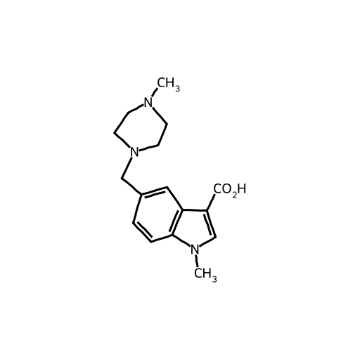 CN1CCN(Cc2ccc3c(c2)c(C(=O)O)cn3C)CC1